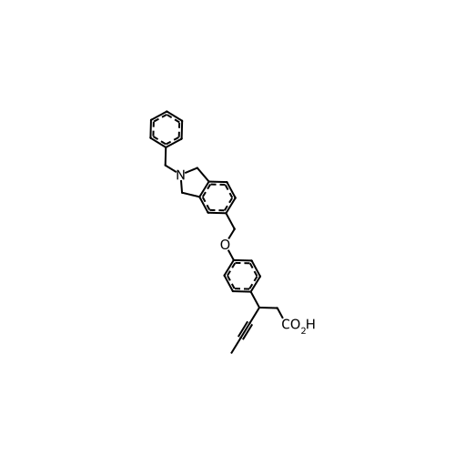 CC#CC(CC(=O)O)c1ccc(OCc2ccc3c(c2)CN(Cc2ccccc2)C3)cc1